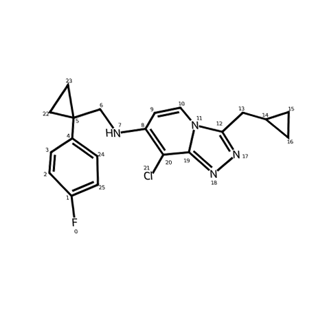 Fc1ccc(C2(CNc3ccn4c(CC5CC5)nnc4c3Cl)CC2)cc1